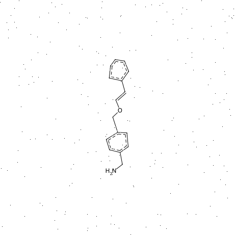 NCc1ccc(COC=Cc2ccccc2)cc1